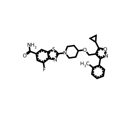 Cc1ccccc1-c1noc(C2CC2)c1COC1CCN(c2nc3c(F)cc(C(N)=O)cc3s2)CC1